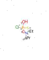 CCCN(CC)OP(O)(=S)Cl